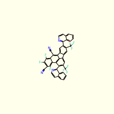 N#Cc1c(F)c(F)c2c(C#N)c3c4c(cc(C(F)(F)F)c(-c5nccc6ccccc56)c4c2c1F)-c1cc(C(F)(F)F)c(-c2nccc4ccccc24)cc1-3